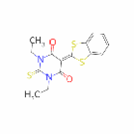 CCN1C(=O)C(=C2Sc3ccccc3S2)C(=O)N(CC)C1=S